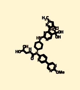 COc1ncc(-c2ccc(N(C(=O)NCC(O)O)[C@H]3CC[C@H](Nc4ncc(C(O)(O)O)c(-c5nn(C)cc5Cl)n4)CC3)nc2)cn1